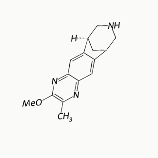 COc1nc2cc3c(cc2nc1C)C1CNC[C@H]3C1